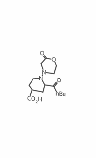 CCCCC(=O)C1CC(C(=O)O)CCN1N1CCOC(=O)C1